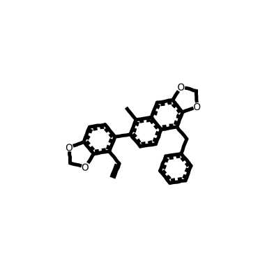 C=Cc1c(-c2ccc3c(Cc4ccccc4)c4c(cc3c2C)OCO4)ccc2c1OCO2